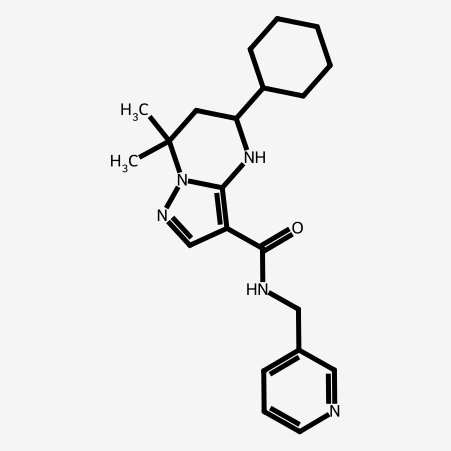 CC1(C)CC(C2CCCCC2)Nc2c(C(=O)NCc3cccnc3)cnn21